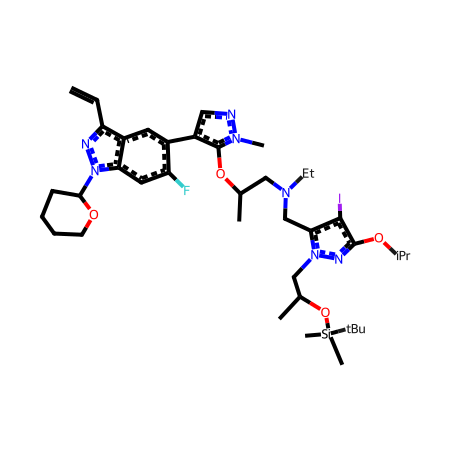 C=Cc1nn(C2CCCCO2)c2cc(F)c(-c3cnn(C)c3OC(C)CN(CC)Cc3c(I)c(OC(C)C)nn3CC(C)O[Si](C)(C)C(C)(C)C)cc12